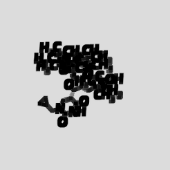 CC(C)(C[C@H]1C(O[Si](C)(C)C(C)(C)C)[C@@H](CO[Si](C)(C)C(C)(C)C)O[C@H]1c1cn(CC2CC2)c(=O)[nH]c1=O)[Si](C)(C)O